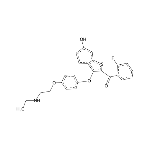 CCNCCOc1ccc(Oc2c(C(=O)c3ccccc3F)sc3cc(O)ccc23)cc1